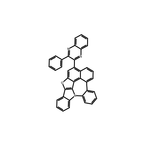 c1ccc(-c2nc3ccccc3nc2-c2cc3oc4c5ccccc5n5c6ccccc6c6cccc2c6c3c45)cc1